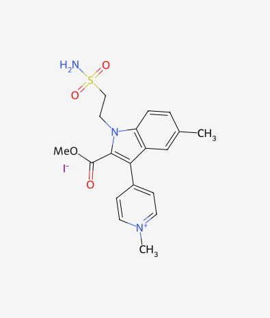 COC(=O)c1c(-c2cc[n+](C)cc2)c2cc(C)ccc2n1CCS(N)(=O)=O.[I-]